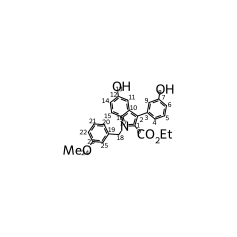 CCOC(=O)c1c(-c2cccc(O)c2)c2cc(O)ccc2n1Cc1cccc(OC)c1